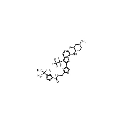 CN1CC[C@@H](Nc2cccc3c(C(F)(F)C(F)(F)F)c(-c4nnc(CNC(=O)c5cnn(C(C)(C)C)c5)s4)nn23)[C@@H](F)C1